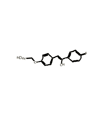 CCCCCCCCCCCOc1ccc(/C=C(\C#N)c2ccc(F)cc2)cc1